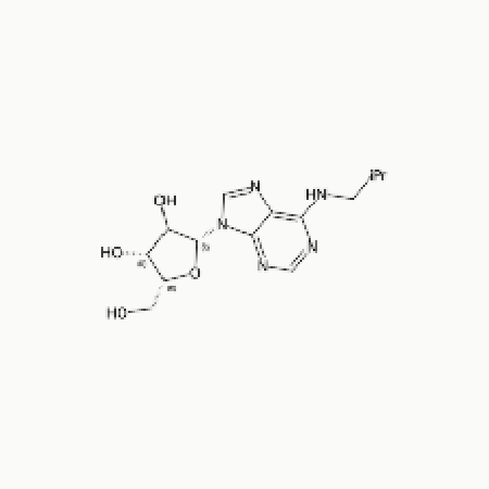 CC(C)CNc1ncnc2c1ncn2[C@@H]1O[C@H](CO)[C@H](O)C1O